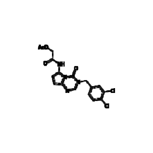 CC(=O)OCC(=O)Nc1ccc2ncn(Cc3ccc(Cl)c(Cl)c3)c(=O)n12